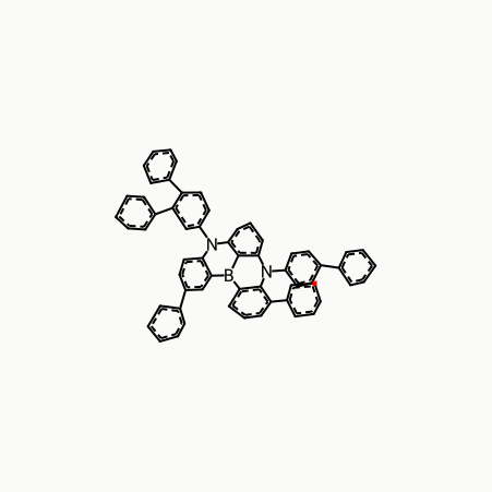 c1ccc(-c2ccc(N3c4cccc5c4B(c4cc(-c6ccccc6)ccc4N5c4ccc(-c5ccccc5)c(-c5ccccc5)c4)c4cccc(-c5ccccc5)c43)cc2)cc1